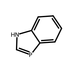 c1ccc2pc[nH]c2c1